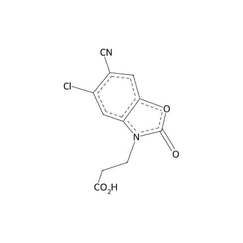 N#Cc1cc2oc(=O)n(CCC(=O)O)c2cc1Cl